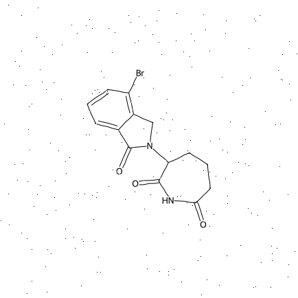 O=C1CCCC(N2Cc3c(Br)cccc3C2=O)C(=O)N1